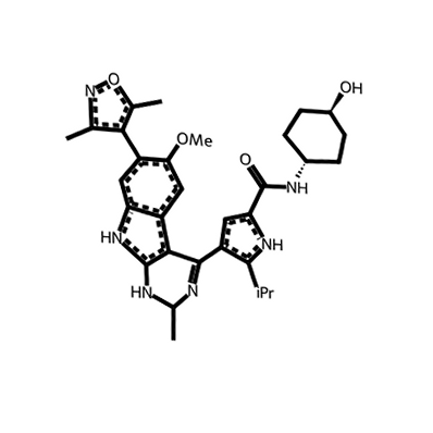 COc1cc2c3c([nH]c2cc1-c1c(C)noc1C)NC(C)N=C3c1cc(C(=O)N[C@H]2CC[C@H](O)CC2)[nH]c1C(C)C